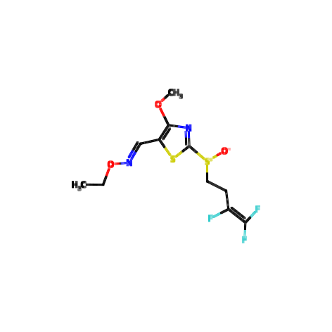 CCON=Cc1sc([S+]([O-])CCC(F)=C(F)F)nc1OC